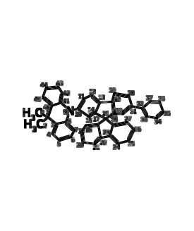 CC1(C)c2ccccc2N(c2ccc3c(c2)C2(c4ccccc4-c4ccccc42)c2cc(-c4ccccc4)ccc2-3)c2ccccc21